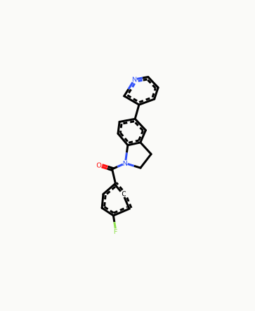 O=C(c1ccc(F)cc1)N1CCc2cc(-c3cccnc3)ccc21